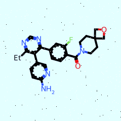 CCc1ncnc(-c2ccc(C(=O)N3CCC4(CC3)COC4)c(F)c2)c1-c1ccc(N)nc1